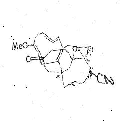 CCOC12CCC(=O)C[C@@]13CCN(C#N)[C@@H]2Cc1ccc(OC)cc13